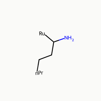 CCCCC[CH](N)[Ru]